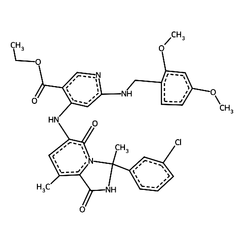 CCOC(=O)c1cnc(NCc2ccc(OC)cc2OC)cc1Nc1cc(C)c2n(c1=O)C(C)(c1cccc(Cl)c1)NC2=O